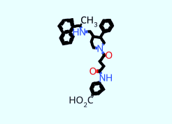 C[C@@H](NCC1CCN(C(=O)CCC(=O)Nc2ccc(C(=O)O)cc2)CC1c1ccccc1)c1cccc2ccccc12